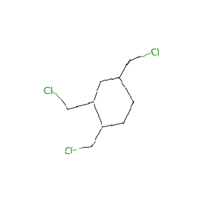 ClCC1CCC(CCl)C(CCl)C1